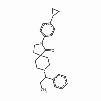 CCC(c1ccccc1)N1CCC2(CCN(c3ccc(C4CC4)cc3)C2=O)CC1